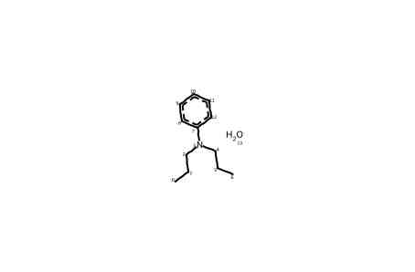 CCCN(CCC)c1ccccc1.O